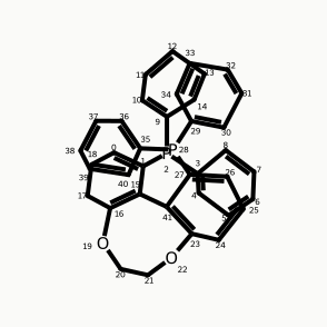 C1=C(P(c2ccccc2)c2ccccc2)C2=C(CC1)OCCOc1cccc(P(c3ccccc3)c3ccccc3)c12